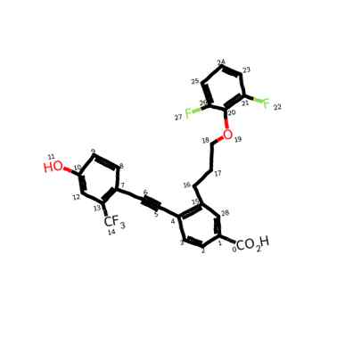 O=C(O)c1ccc(C#Cc2ccc(O)cc2C(F)(F)F)c(CCCOc2c(F)cccc2F)c1